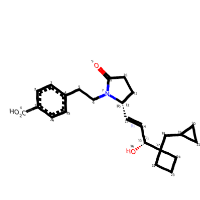 O=C(O)c1ccc(CCN2C(=O)CC[C@@H]2/C=C/[C@@H](O)C2(CC3CC3)CCC2)cc1